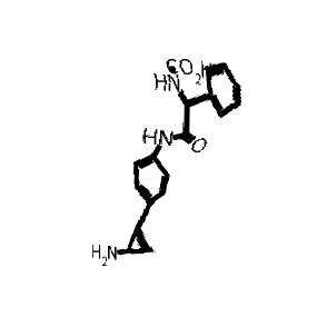 NC1CC1c1ccc(NC(=O)C(NC(=O)O)c2ccccc2)cc1